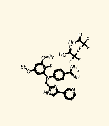 CCOc1cc(OC(C)C)c(F)c(N(Cc2nc(-c3cccnc3)c[nH]2)c2ccc(C(=N)N)cc2)c1.O=C(O)C(F)(F)F.O=C(O)C(F)(F)F